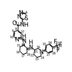 O=C(Nc1nncs1)c1ccnc(N[C@@H]2CCCC[C@H]2NC2CCCN(c3ccc(C(F)(F)F)cc3)C2)c1